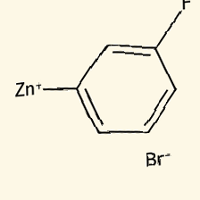 Fc1ccc[c]([Zn+])c1.[Br-]